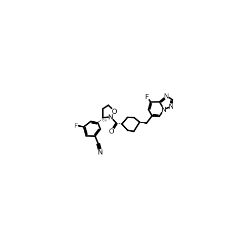 N#Cc1cc(F)cc([C@@H]2CCON2C(=O)[C@H]2CC[C@H](Cc3cc(F)c4ncnn4c3)CC2)c1